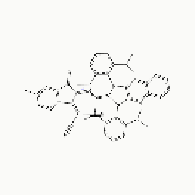 Cc1ccc2c(c1)C(=O)/C(=C/C=C1N(c3c(C(C)C)cccc3C(C)C)c3nc4ccccc4nc3N1c1c(C(C)C)cccc1C(C)C)C2=C(C#N)C#N